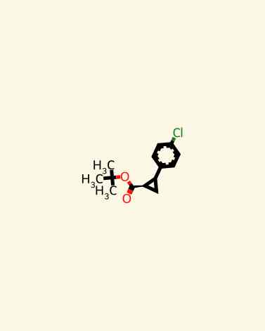 CC(C)(C)OC(=O)[C@@H]1CC1c1ccc(Cl)cc1